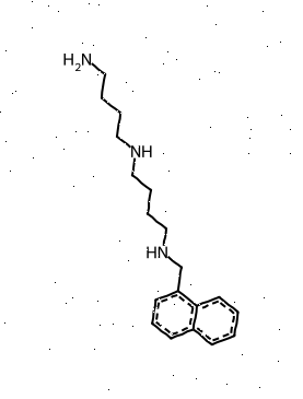 NCCCCNCCCCNCc1cccc2ccccc12